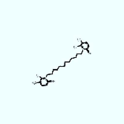 Cc1ccc(=N)n(CCCCCCCCCCCCn2c(C)c(C)ccc2=N)c1C